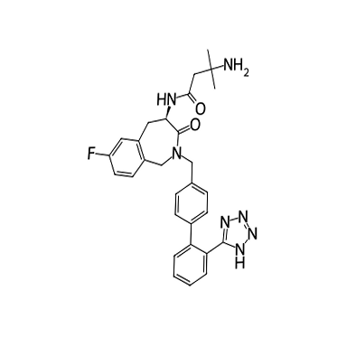 CC(C)(N)CC(=O)N[C@@H]1Cc2cc(F)ccc2CN(Cc2ccc(-c3ccccc3-c3nnn[nH]3)cc2)C1=O